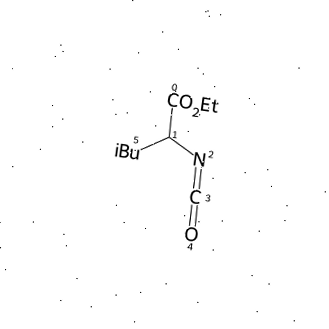 CCOC(=O)C(N=C=O)C(C)CC